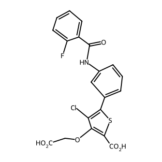 O=C(O)COc1c(C(=O)O)sc(-c2cccc(NC(=O)c3ccccc3F)c2)c1Cl